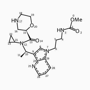 COC(=O)NCCCn1cc([C@@H](C)N(C(=O)[C@H]2CNCCO2)C2CC2)c2ncccc21